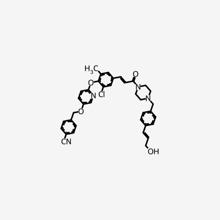 Cc1cc(/C=C/C(=O)N2CCN(Cc3ccc(/C=C/CO)cc3)CC2)cc(Cl)c1Oc1ccc(OCc2ccc(C#N)cc2)cn1